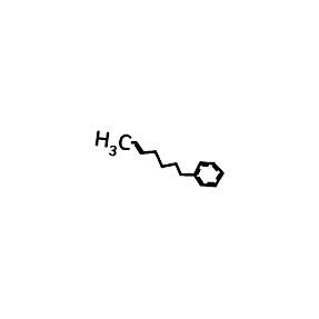 C/C=C/CCCCc1ccccc1